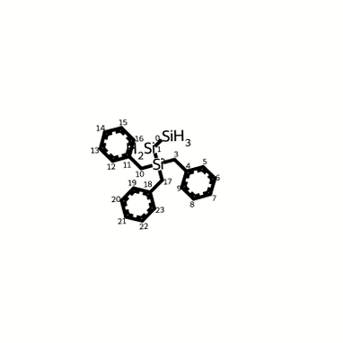 [SiH3][SiH2][Si](Cc1ccccc1)(Cc1ccccc1)Cc1ccccc1